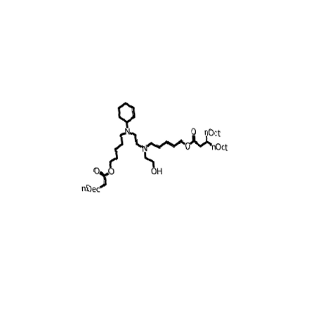 CCCCCCCCCCCC(=O)OCCCCCN(CCN(CCO)CCCCCOC(=O)CC(CCCCCCCC)CCCCCCCC)C1CCCCC1